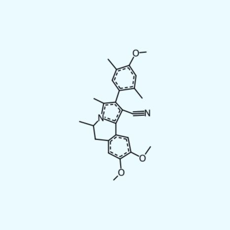 COc1cc(C)c(-c2c(C#N)c3n(c2C)C(C)Cc2cc(OC)c(OC)cc2-3)cc1C